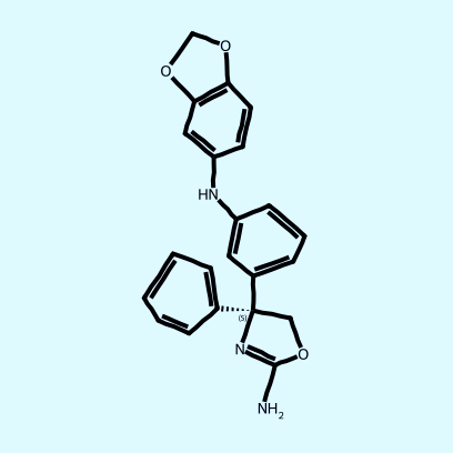 NC1=N[C@@](c2ccccc2)(c2cccc(Nc3ccc4c(c3)OCO4)c2)CO1